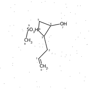 C=CCC1CCC1O.CS(=O)(=O)O